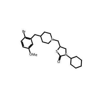 COc1ccc(Br)c(CC2CCN(CC3CN(C4CCCCC4)C(=O)S3)CC2)c1